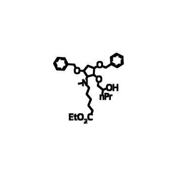 CCCC(O)COC1C(OCc2ccccc2)CC(OCc2ccccc2)C1N(C)CCCCCC(=O)OCC